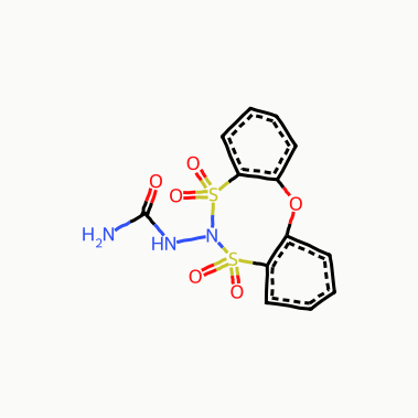 NC(=O)NN1S(=O)(=O)c2ccccc2Oc2ccccc2S1(=O)=O